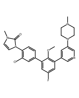 COc1c(-c2cncc(N3CCN(C)CC3)c2)cc(F)cc1-c1ccc(-n2ccn(C)c2=O)c(Cl)c1